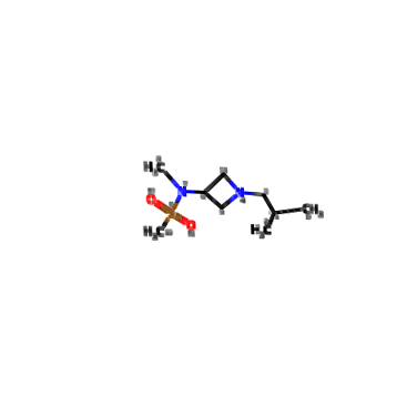 C[C](C)CN1CC(N(C)S(C)(=O)=O)C1